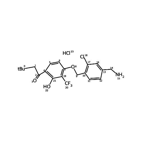 CC(C)(C)CC(=O)c1ccc(OCc2ccc(CN)cc2Cl)c(C(F)(F)F)c1O.Cl